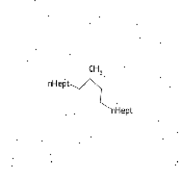 [CH2]CCCCCCCCC(C)CCCCCCC[CH2]